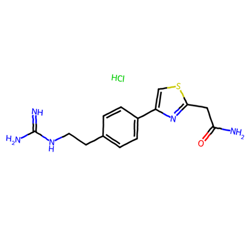 Cl.N=C(N)NCCc1ccc(-c2csc(CC(N)=O)n2)cc1